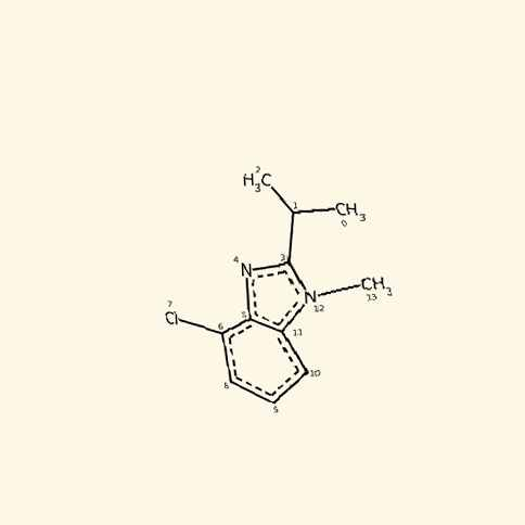 CC(C)c1nc2c(Cl)cccc2n1C